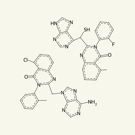 Cc1cccc2nc(C(S)c3ncnc4[nH]cnc34)n(-c3ccccc3F)c(=O)c12.Cc1ccccc1-n1c(Cn2cnc3c(N)ncnc32)nc2cccc(Cl)c2c1=O